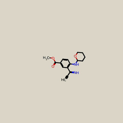 C#CC(=N)c1cc(C(=O)OC)ccc1NC1CCCCO1